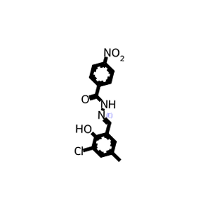 Cc1cc(Cl)c(O)c(/C=N/NC(=O)c2ccc([N+](=O)[O-])cc2)c1